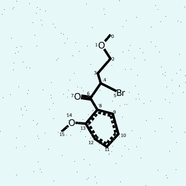 COCCC(Br)C(=O)c1ccccc1OC